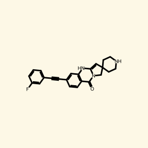 O=C1c2ccc(C#Cc3cccc(F)c3)cc2NC2=CC3(CCNCC3)CN12